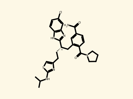 CC(C)Nc1nc(CC[C@@H](Cc2cc(C(N)=O)ccc2C(=O)N2CCCC2)c2nc3cc(Cl)ccc3[nH]2)cs1